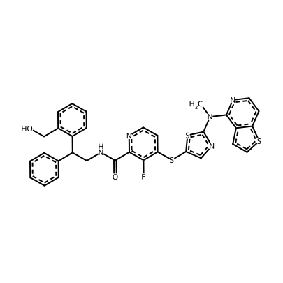 CN(c1ncc(Sc2ccnc(C(=O)NCC(c3ccccc3)c3ccccc3CO)c2F)s1)c1nccc2sccc12